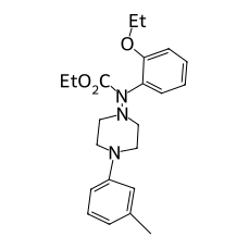 CCOC(=O)N(c1ccccc1OCC)N1CCN(c2cccc(C)c2)CC1